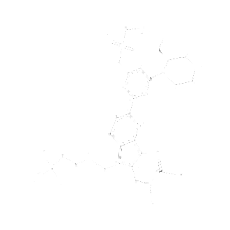 CC[C@H]1COCCN1c1cc(CS(=O)(=O)CC)nc(-c2ccc3c(cc(CN(C)C(=O)O)n3COCC[Si](C)(C)C)n2)n1